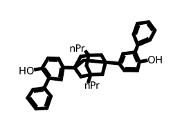 CCCC12CC3(CCC)CC(c4ccc(O)c(-c5ccccc5)c4)(C1)CC(c1ccc(O)c(-c4ccccc4)c1)(C2)C3